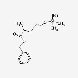 CN(CCCO[Si](C)(C)C(C)(C)C)C(=O)OCc1ccccc1